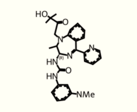 CNc1cccc(NC(=O)N[C@@H]2N=C(c3ccccn3)c3ccccc3N(CC(=O)C(C)(C)O)C2C)c1